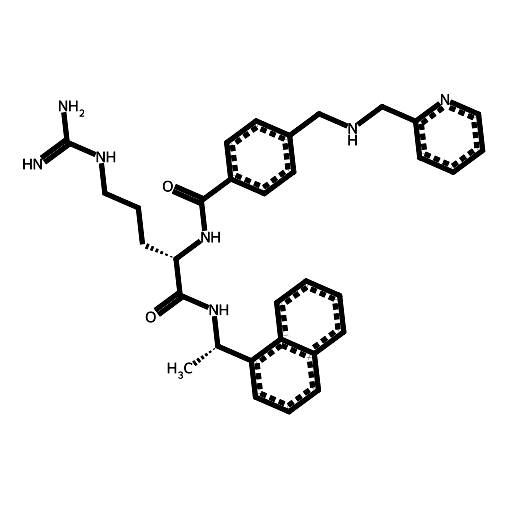 C[C@H](NC(=O)[C@H](CCCNC(=N)N)NC(=O)c1ccc(CNCc2ccccn2)cc1)c1cccc2ccccc12